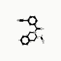 N#Cc1cccc(C(=O)N2Cc3ccccc3C[C@H]2[C]=O)c1